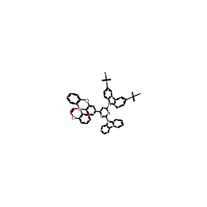 CC(C)(C)c1ccc2c(c1)c1cc(C(C)(C)C)ccc1n2-c1cc(-c2ccc3c(c2)Oc2ccccc2[Si]32c3ccccc3Oc3ccccc32)nc(-n2c3ccccc3c3ccccc32)n1